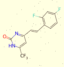 O=c1nc(C=Cc2ccc(F)cc2F)cc(C(F)(F)F)[nH]1